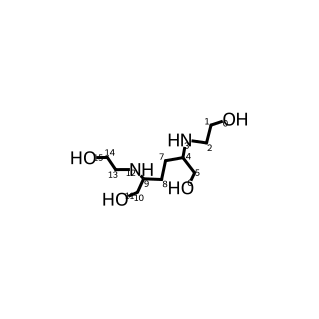 OCCNC(CO)CCC(CO)NCCO